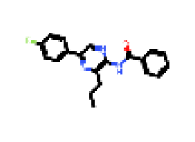 CCCc1nc(-c2ccc(F)cc2)cnc1NC(=O)c1ccccc1